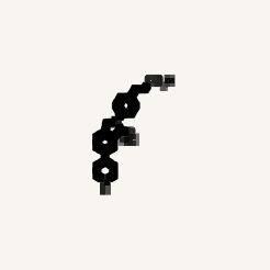 Cl.O=C(O)CCc1ccc(N2Cc3ccc(C4CCNCC4)cc3C2=O)cc1